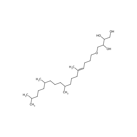 C/C(=C\CCCOCC(O)C(O)CO)CCCC(C)CCCC(C)CCCC(C)C